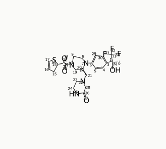 C[C@](O)(c1ccc(N2CCN(S(=O)(=O)C3CC=CS3)C[C@@H]2CN2CCNC(=O)C2)cc1)C(F)(F)F